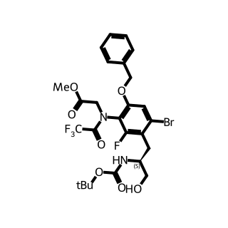 COC(=O)CN(C(=O)C(F)(F)F)c1c(OCc2ccccc2)cc(Br)c(C[C@@H](CO)NC(=O)OC(C)(C)C)c1F